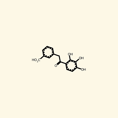 O=C(O)c1cccc(CC(=O)c2ccc(O)c(O)c2O)c1